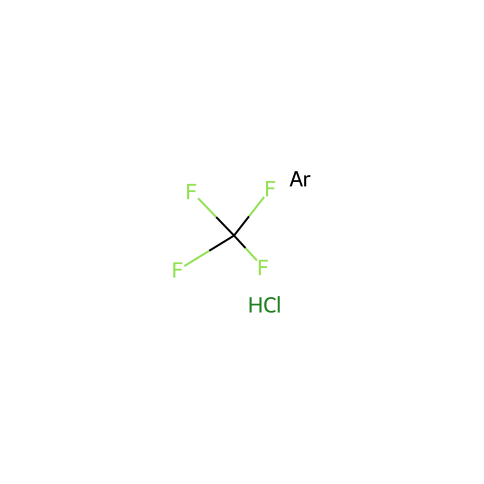 Cl.FC(F)(F)F.[Ar]